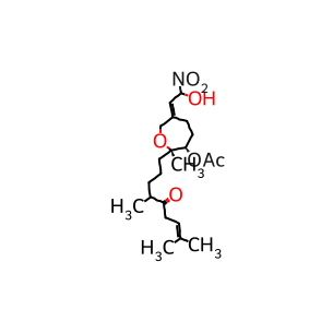 CC(=O)O[C@@H]1CCC(=CC(O)[N+](=O)[O-])CO[C@@]1(C)CCCC(C)C(=O)CC=C(C)C